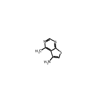 Cc1ncnc2scc(N)c12